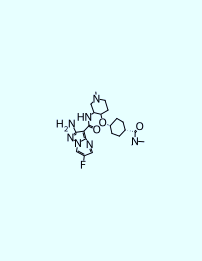 CN1CCC(O[C@H]2CC[C@@H](C(=O)N(C)C)CC2)C(NC(=O)c2c(N)nn3cc(F)cnc23)C1